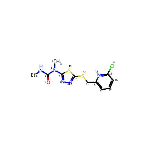 CCNC(=O)N(C)c1nnc(SCc2cccc(Cl)n2)s1